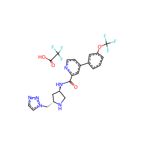 O=C(N[C@H]1CN[C@H](Cn2ccnn2)C1)c1cc(-c2cccc(OC(F)(F)F)c2)ccn1.O=C(O)C(F)(F)F